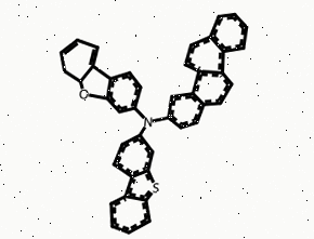 C1=CCC2Oc3cc(N(c4ccc5c(c4)sc4ccccc45)c4ccc5ccc6c7ccccc7ccc6c5c4)ccc3C2=C1